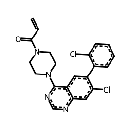 C=CC(=O)N1CCN(c2ncnc3cc(Cl)c(-c4ccccc4Cl)cc23)CC1